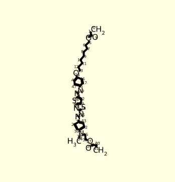 C=CC(=O)OCCCCCCCCCOc1ccc(N=Nc2cc3sc(N=Nc4ccc(N(CC)CCOC(=O)C=C)cc4)nc3s2)cc1